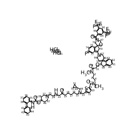 CN(CCCN(C)C(=O)c1ccc(CN(CCCCCC(=O)CNCCN2CCC(OC(=O)Nc3ccccc3-c3ccccc3)CC2)CC2CC2)s1)C(=O)CO[C@H]1Cc2ccccc2C12CCN(CC[C@@]1(c3ccc(F)cc3)CN(C(=O)c3cc(C(F)(F)F)cc(C(F)(F)F)c3)CO1)CC2.Cl.Cl.Cl